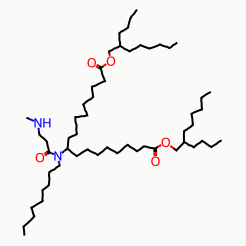 CCCCCCCCCN(C(=O)CCNC)C(CCCCCCCCC(=O)OCC(CCCC)CCCCCC)CCCCCCCCC(=O)OCC(CCCC)CCCCCC